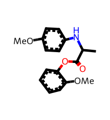 COc1ccc(NC(C)C(=O)Oc2ccccc2OC)cc1